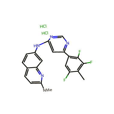 CNc1ccc2ccc(Nc3cc(-c4cc(F)c(C)c(F)c4F)ncn3)cc2n1.Cl.Cl